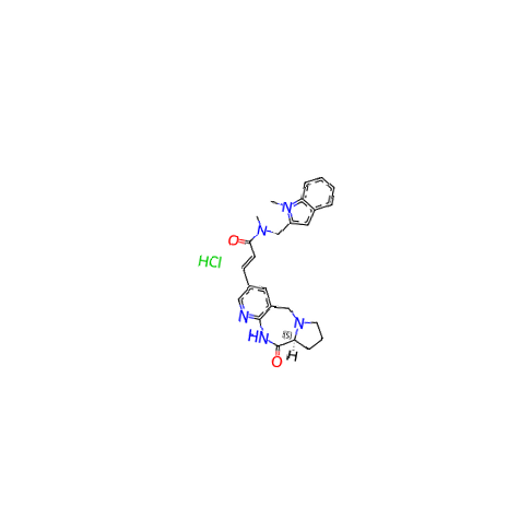 CN(Cc1cc2ccccc2n1C)C(=O)C=Cc1cnc2c(c1)CN1CCC[C@H]1C(=O)N2.Cl